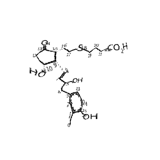 Cc1cc(C[C@H](O)/C=C/[C@@H]2[C@H](O)CC(=O)[C@@H]2CCSCCCC(=O)O)ccc1O